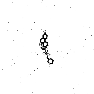 C[C@]12C=CC3=C4CCC(=O)C=C4CC[C@H]3[C@@H]1CC[C@@H]2OC(=O)OCC1CCCCC1